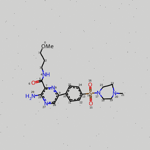 COCCCNC(=O)c1nc(-c2ccc(S(=O)(=O)N3CCN(C)CC3)cc2)cnc1N